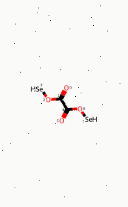 O=C(O[SeH])C(=O)O[SeH]